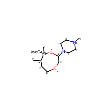 CO[Si]1(C)OC(N2CCN(C)CC2)COCCC1C